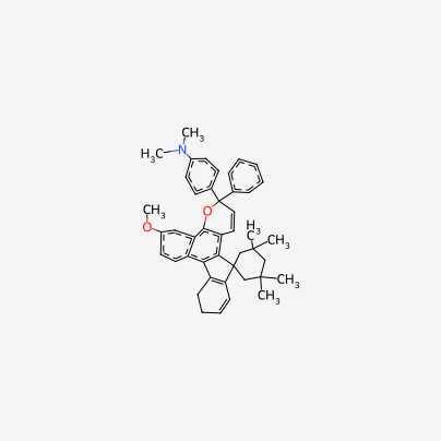 COc1ccc2c3c(c4c(c2c1)OC(c1ccccc1)(c1ccc(N(C)C)cc1)C=C4)C1(CC(C)(C)CC(C)(C)C1)C1=C3CCC=C1